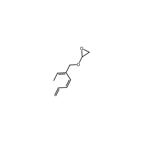 C=C/C=C\C(=C/C)COC1CO1